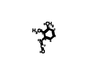 Cc1cccc(N=C=O)c1C